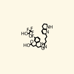 O=C(O)C(F)(F)F.O=C(O)CC(Cc1nc(CCCc2ccc3c(n2)NCCC3)no1)c1cccc(F)c1